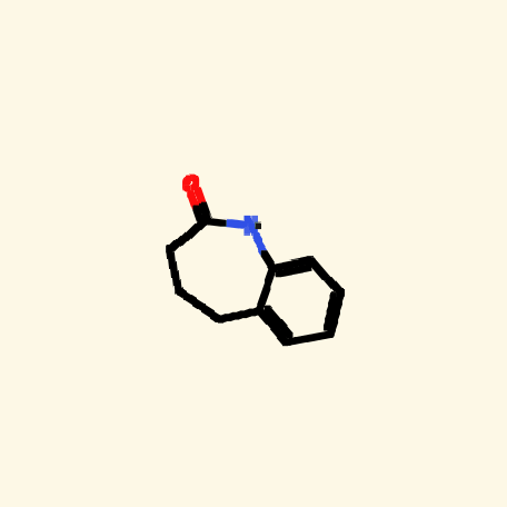 O=C1CCCc2ccccc2[N]1